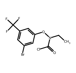 CCN(Oc1cc(Br)cc(C(F)(F)F)c1)C(=O)Cl